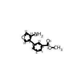 COC(=O)c1cccc(-c2cocc2N)c1